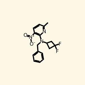 Cc1ccc([N+](=O)[O-])c(N(Cc2ccccc2)C2CC(F)(F)C2)n1